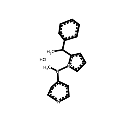 CC(c1ccccc1)c1cccn1N(C)c1ccncc1.Cl